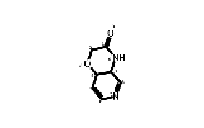 O=C1COC2C=CN=CC2N1